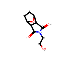 O=C1C2C3CCC(O3)C2C(=O)N1CCO